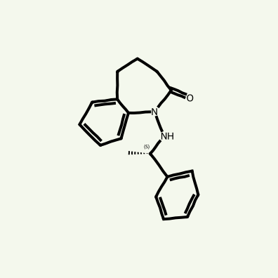 C[C@H](NN1C(=O)CCCc2ccccc21)c1ccccc1